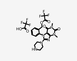 Cn1c(=O)c2c(nc(N3CCNCC3)n2-c2ccccc2COC(=O)C(F)(F)F)n(C)c1=O.O=C(O)C(F)(F)F